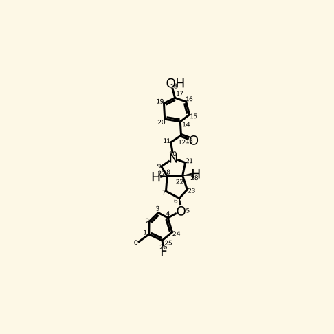 Cc1ccc(O[C@H]2C[C@@H]3CN(CC(=O)c4ccc(O)cc4)C[C@@H]3C2)cc1F